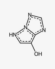 Oc1c[nH]n2ncnc12